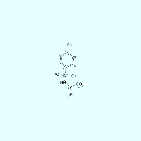 CC(C)[C](NS(=O)(=O)c1ccc(F)cc1)C(=O)O